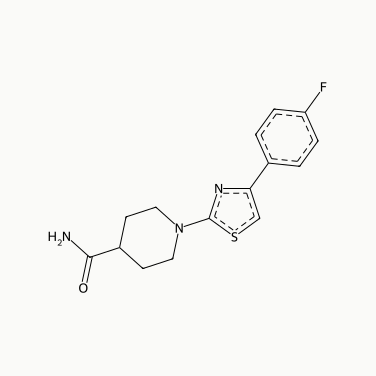 NC(=O)C1CCN(c2nc(-c3ccc(F)cc3)cs2)CC1